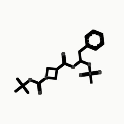 CC(C)(C)OC(=O)N1CC(C(=O)OC(Cc2ccccc2)OS(C)(=O)=O)C1